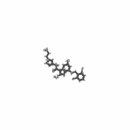 Cc1nc2c(OCc3c(F)cccc3F)cc(Cl)cn2c1C(=O)Nc1cnn(CCO)c1